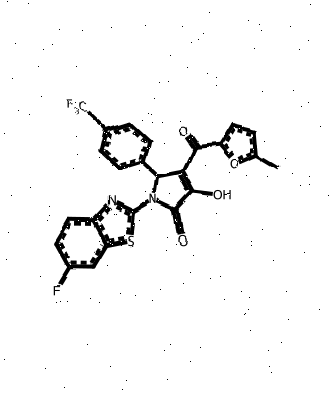 Cc1ccc(C(=O)C2=C(O)C(=O)N(c3nc4ccc(F)cc4s3)C2c2ccc(C(F)(F)F)cc2)o1